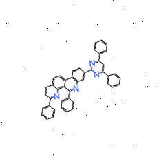 c1ccc(-c2cc(-c3ccccc3)nc(-c3ccc4c(c3)nc(-c3ccccc3)c3c4ccc4ccc(-c5ccccc5)nc43)n2)cc1